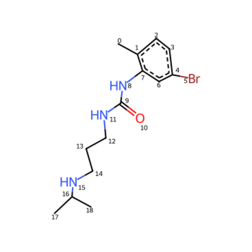 Cc1ccc(Br)cc1NC(=O)NCCCNC(C)C